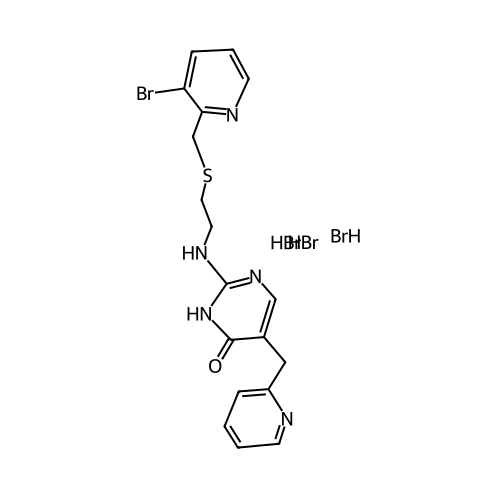 Br.Br.Br.O=c1[nH]c(NCCSCc2ncccc2Br)ncc1Cc1ccccn1